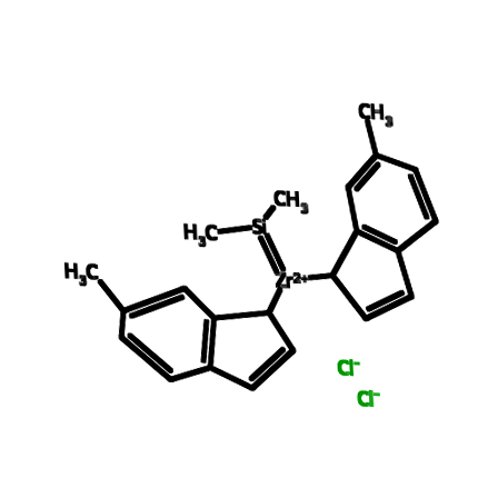 Cc1ccc2c(c1)[CH]([Zr+2]([CH]1C=Cc3ccc(C)cc31)=[Si](C)C)C=C2.[Cl-].[Cl-]